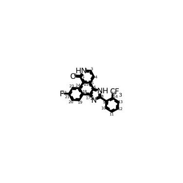 O=c1[nH]ccc2c3[nH]c(-c4ccccc4C(F)(F)F)nc3c3ccc(F)cc3c12